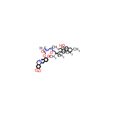 COc1ccc2cc3[n+](cc2c1OCC(=O)N(C)CCN(C)C(=O)CC[C@H](C)[C@@H]1CC[C@@H]2[C@H]4[C@H](O)CC5C[C@H](C)CC[C@@]5(C)[C@@H]4CC[C@]21C)CCc1cc2c(cc1-3)OCO2